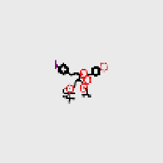 COc1ccc(COC(CCc2ccc(I)cc2)C(CCO[Si](C)(C)C(C)(C)C)C(=O)OCC(C)C)cc1